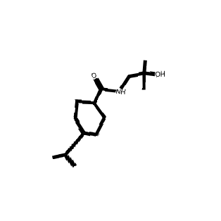 CC(C)C1CCC(C(=O)NCC(C)(C)O)CC1